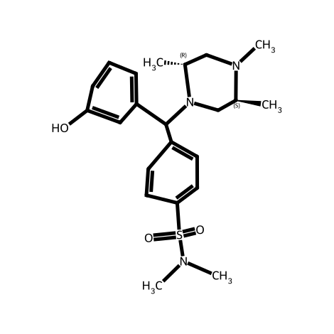 C[C@@H]1CN(C)[C@@H](C)CN1C(c1ccc(S(=O)(=O)N(C)C)cc1)c1cccc(O)c1